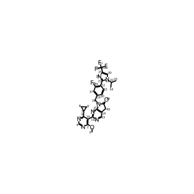 COc1ncnc(C2CC2)c1-c1ncc2c(n1)N(Cc1ccc(-c3nc(C(F)(F)F)cn3C(C)C)c(F)c1)C(=O)C2